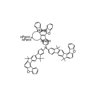 CCCCCCCC12CCC(CCCCC)(CCCCC)CCC3(CCCCCCC)c4ccccc4-c4c3c1c(c1oc3ccccc3c41)-c1ccc(N(c3ccc4c(c3)C(C)(C)c3cc5c(cc3-4)C(C)(C)c3ccc4oc6ccccc6c4c3-5)c3ccc4c(c3)C(C)(C)c3cc5c(cc3-4)C(C)(C)c3ccc4oc6ccccc6c4c3-5)cc12